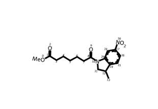 COC(=O)CCCCCC(=O)N1CC(C)c2ccc([N+](=O)[O-])cc21